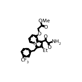 CCc1c(C(=O)C(N)=O)c2c(OCC(=O)OC)cccn2c1Cc1cccc(C(F)(F)F)c1